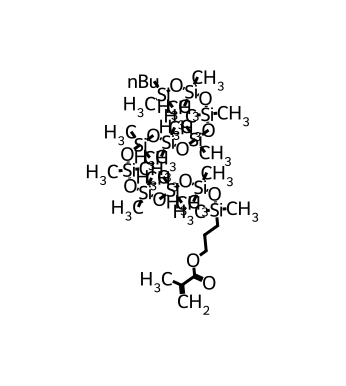 C=C(C)C(=O)OCCC[Si](C)(C)O[Si](C)(C)O[Si](C)(C)O[Si](C)(C)O[Si](C)(C)O[Si](C)(C)O[Si](C)(C)O[Si](C)(C)O[Si](C)(C)O[Si](C)(C)O[Si](C)(C)CCCC